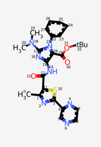 Cc1nc(-c2cnccn2)sc1C(=O)Nc1nc(N(C)C)n(-c2ccccc2)c1C(=O)OC(C)(C)C